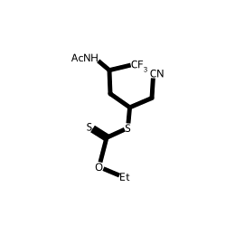 CCOC(=S)SC(CC#N)CC(NC(C)=O)C(F)(F)F